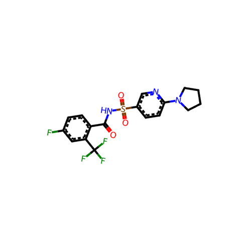 O=C(NS(=O)(=O)c1ccc(N2CCCC2)nc1)c1ccc(F)cc1C(F)(F)F